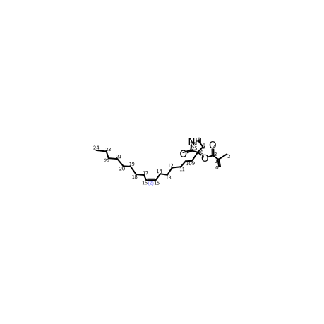 C=C(C)C(=O)OC(CC)(CCCCCC/C=C\CCCCCCCC)C(N)=O